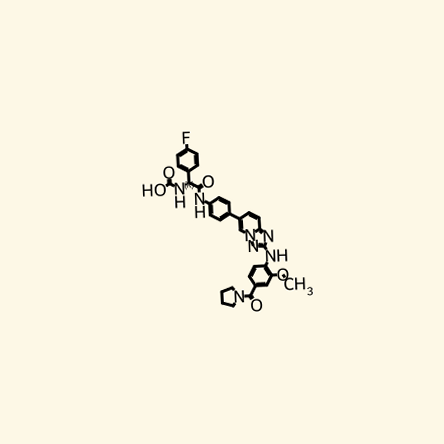 COc1cc(C(=O)N2CCCC2)ccc1Nc1nc2ccc(-c3ccc(NC(=O)[C@H](NC(=O)O)c4ccc(F)cc4)cc3)cn2n1